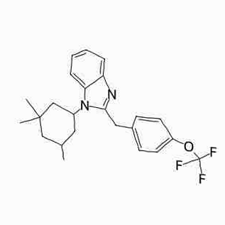 CC1CC(n2c(Cc3ccc(OC(F)(F)F)cc3)nc3ccccc32)CC(C)(C)C1